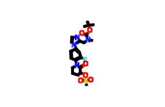 CN(Cc1nccn1-c1ccc(N2CCCC(OS(C)(=O)=O)C2=O)c(F)c1)C(=O)OC(C)(C)C